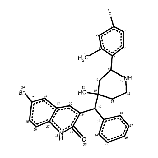 Cc1cc(F)ccc1C1CC(O)(C(c2ccccc2)c2cc3cc(Br)ccc3[nH]c2=O)CCN1